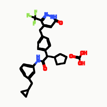 O=C(Nc1cccc(CC2CC2)c1)C(c1ccc(Cc2cc(=O)[nH]nc2C(F)(F)F)cc1)C1CCCC1.O=C(O)O